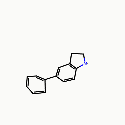 c1ccc(-c2ccc3c(c2)CC[N]3)cc1